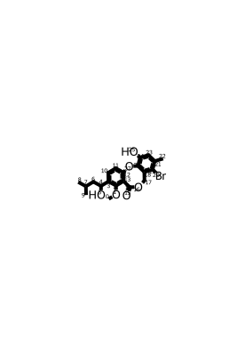 COc1c(C(O)CC(C)C)ccc2c1C(=O)OCc1c(Br)c(C)cc(O)c1O2